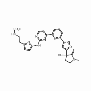 CN1CC[C@@](O)(c2cc(-c3cccc(-c4ccnc(Nc5ccn(CCNC(=O)O)n5)n4)n3)no2)C1=O